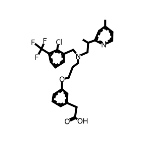 Cc1ccnc(C(C)CN(CCCOc2cccc(CC(=O)O)c2)Cc2cccc(C(F)(F)F)c2Cl)c1